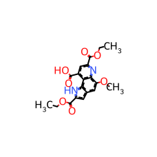 CCOC(=O)c1cc(C(=O)O)c2c(n1)c(OC)cc1cc(C(=O)OCC)[nH]c12